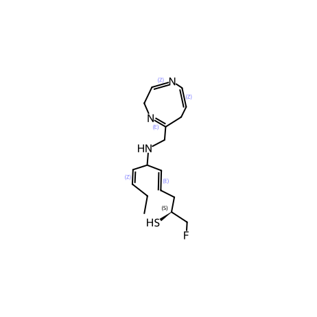 CC/C=C\C(/C=C/C[C@H](S)CF)NC/C1=N/C/C=N\C=C/C1